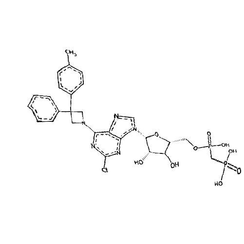 Cc1ccc(C2(c3ccccc3)CN(c3nc(Cl)nc4c3ncn4[C@@H]3O[C@H](COP(=O)(O)CP(=O)(O)O)C(O)[C@@H]3O)C2)cc1